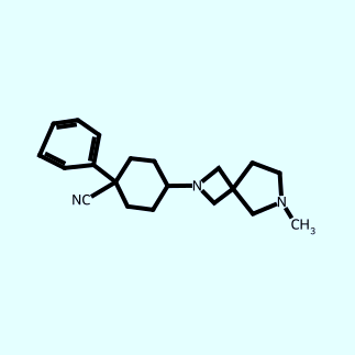 CN1CCC2(C1)CN(C1CCC(C#N)(c3ccccc3)CC1)C2